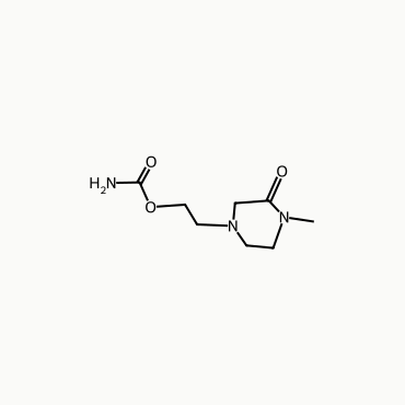 CN1CCN(CCOC(N)=O)CC1=O